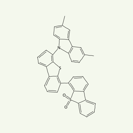 Cc1ccc2c(c1)c1cc(C)ccc1n2-c1cccc2c1sc1c(-c3cccc4c3S(=O)(=O)c3ccccc3-4)cccc12